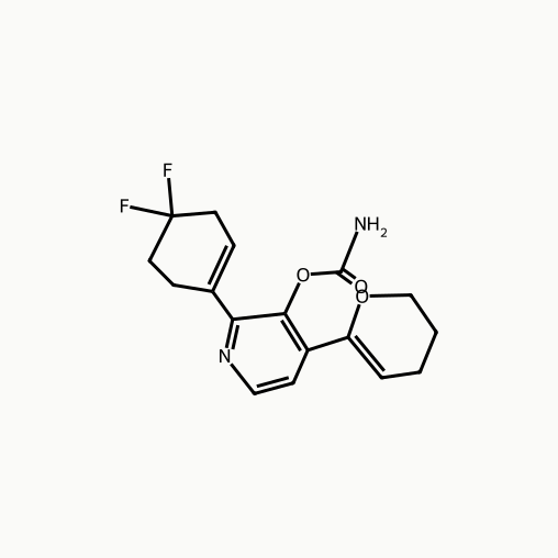 NC(=O)Oc1c(C2=CCCCO2)ccnc1C1=CCC(F)(F)CC1